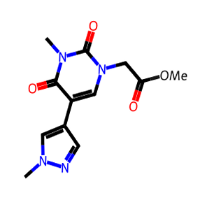 COC(=O)Cn1cc(-c2cnn(C)c2)c(=O)n(C)c1=O